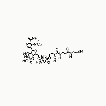 C=C(N)c1ncn(C2OC(COP(=O)(O)OP(=O)(O)OC[C@H](C)C(O)C(=O)NCCC(=O)NCCS)C(OP(=O)(O)O)C2O)c1NC